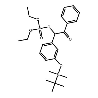 CCOP(=O)(OCC)OC(C(=O)c1ccccc1)c1cccc(O[Si](C)(C)C(C)(C)C)c1